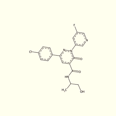 CC(CO)NC(=O)c1cc(-c2ccc(Cl)cc2)nn(-c2cncc(F)c2)c1=O